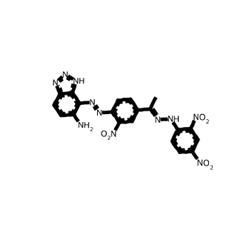 C/C(=N\Nc1ccc([N+](=O)[O-])cc1[N+](=O)[O-])c1ccc(/N=N/c2c(N)ccc3nn[nH]c23)c([N+](=O)[O-])c1